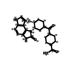 CC(=O)N1CCN(C(=O)N2CC[C@@H](C)[C@@H](n3c(=O)[nH]c4cnc5[nH]ccc5c43)C2)CC1